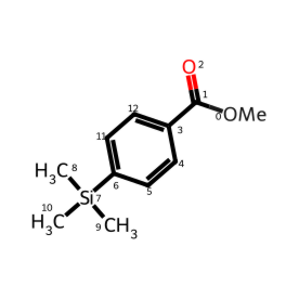 COC(=O)c1ccc([Si](C)(C)C)cc1